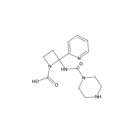 O=C(NC1(c2ccccn2)CCN1C(=O)O)N1CCNCC1